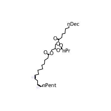 CCCCC/C=C\C/C=C\CCCCCCCC(=O)OCC(COC(=O)CCCCCCCCCCCCCCC)OC(=O)CCC